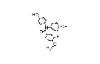 COc1ccc(C(=O)N(c2ccc(O)cc2)c2ccc(O)cc2)cc1F